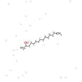 [CH2]C(O)CCCCCCCCCCCCC